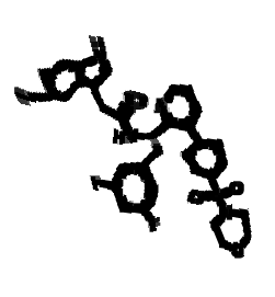 O=C(Cc1c[nH]c2ccc(F)cc12)N[C@@H](Cc1cc(F)cc(F)c1)c1ncccc1-c1ccc(S(=O)(=O)N2CCOCC2)cc1